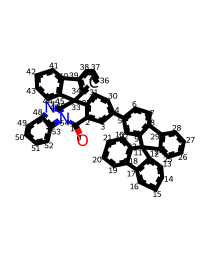 O=C1c2cc(-c3ccc4c(c3)C3(c5ccccc5-c5ccccc53)c3ccccc3-4)ccc2C2(c3ccccc3-c3ccccc32)c2nc3ccccc3n21